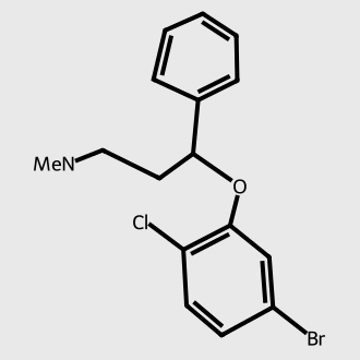 CNCCC(Oc1cc(Br)ccc1Cl)c1ccccc1